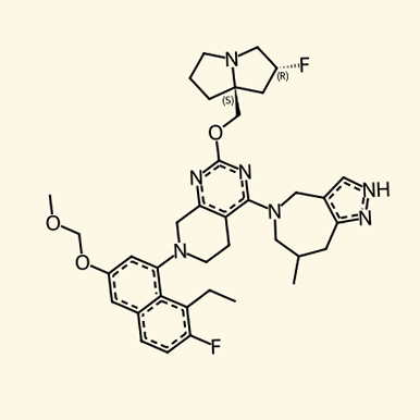 CCc1c(F)ccc2cc(OCOC)cc(N3CCc4c(nc(OC[C@@]56CCCN5C[C@H](F)C6)nc4N4Cc5c[nH]nc5CC(C)C4)C3)c12